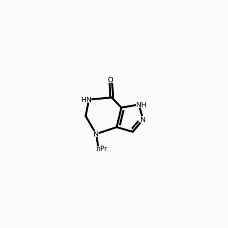 CCCN1CNC(=O)c2[nH]ncc21